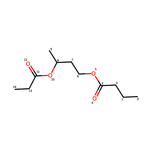 CCCC(=O)OCCC(C)OC(=O)CC